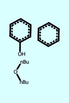 CCCCOCCCC.Oc1ccccc1.c1ccccc1